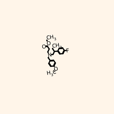 CCOC(=O)CCN(Cc1ccc(OC)cc1)CC(CC)c1ccc(F)cc1